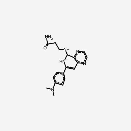 CN(C)c1ccc(C2=Cc3nccnc3C(NCCC(N)=O)N2)cc1